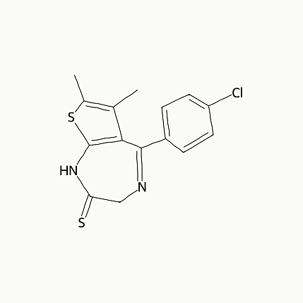 Cc1sc2c(c1C)C(c1ccc(Cl)cc1)=NCC(=S)N2